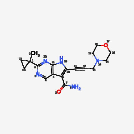 CC1(c2ncc3c(C(N)=O)c(C#CCN4CCOCC4)[nH]c3n2)CC1